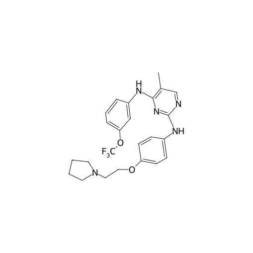 Cc1cnc(Nc2ccc(OCCN3CCCC3)cc2)nc1Nc1cccc(OC(F)(F)F)c1